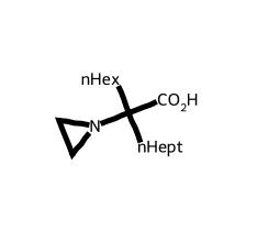 CCCCCCCC(CCCCCC)(C(=O)O)N1CC1